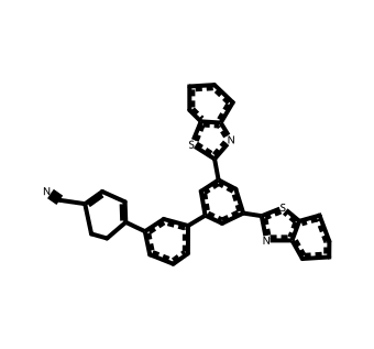 N#CC1=CC=C(c2cccc(-c3cc(-c4nc5ccccc5s4)cc(-c4nc5ccccc5s4)c3)c2)CC1